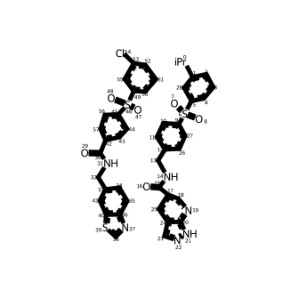 CC(C)c1cccc(S(=O)(=O)c2ccc(CNC(=O)c3cnc4[nH]ncc4c3)cc2)c1.O=C(NCc1ccc2ncsc2c1)c1ccc(S(=O)(=O)c2cccc(Cl)c2)cc1